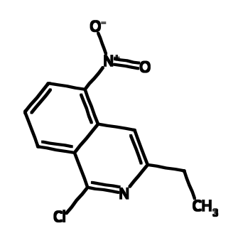 CCc1cc2c([N+](=O)[O-])cccc2c(Cl)n1